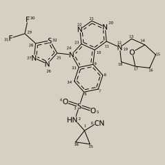 N#CC1(NS(=O)(=O)c2ccc3c4c(N5CC6CCC(C5)O6)ncnc4n(-c4nnc(C(F)F)s4)c3c2)CC1